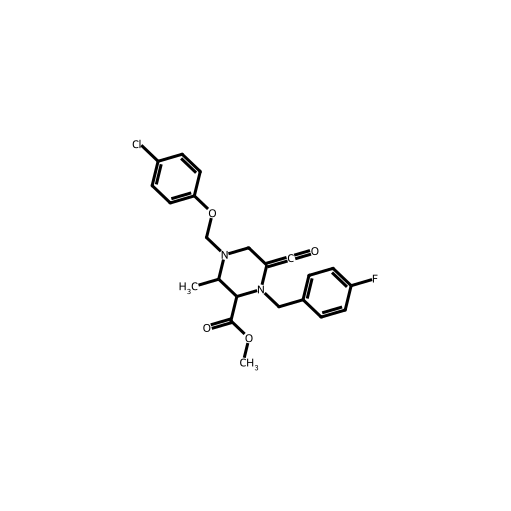 COC(=O)C1C(C)N(COc2ccc(Cl)cc2)CC(=C=O)N1Cc1ccc(F)cc1